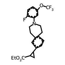 CCOC(=O)C1CC1c1ccc2c(c1)CCN(c1cc(OC(F)(F)F)ccc1F)CC2